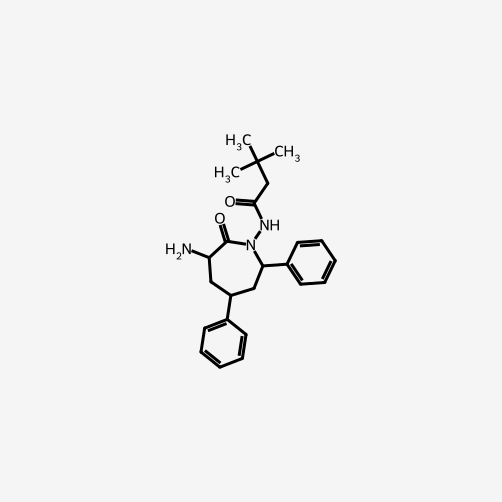 CC(C)(C)CC(=O)NN1C(=O)C(N)CC(c2ccccc2)CC1c1ccccc1